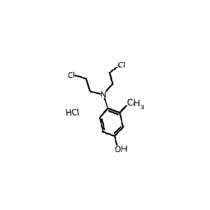 Cc1cc(O)ccc1N(CCCl)CCCl.Cl